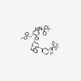 CCOC(=O)Cc1ccc(NC(=O)OC(C)(C)C)cc1OCc1cc(-c2cccc(CNC(=O)OC(C)(C)C)c2)c2occc2c1